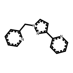 c1ccc(Cn2ccc(-c3ccccn3)n2)nc1